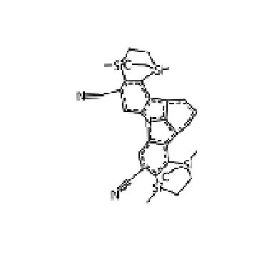 C[Si]12CC[Si](C)(CC1)c1c2c(C#N)cc2c1c1cccc3c4c5c(c(C#N)cc4n2c13)[Si]1(C)CC[Si]5(C)CC1